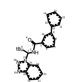 CC(C)(C)C(NC(=O)c1cccc(-c2ccccc2)c1)n1nnc2ccccc21